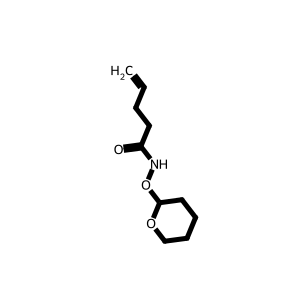 C=CCCC(=O)NOC1CCCCO1